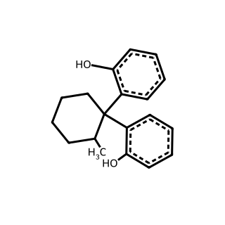 CC1CCCCC1(c1ccccc1O)c1ccccc1O